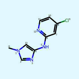 Cn1cnc(Nc2cc(Cl)ccn2)c1